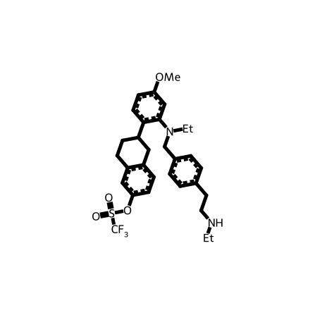 CCNCCc1ccc(CN(CC)c2cc(OC)ccc2C2CCc3cc(OS(=O)(=O)C(F)(F)F)ccc3C2)cc1